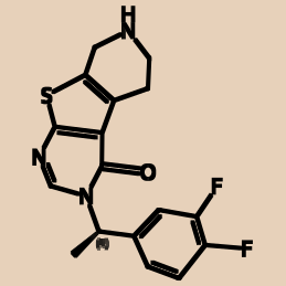 C[C@H](c1ccc(F)c(F)c1)n1cnc2sc3c(c2c1=O)CCNC3